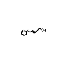 OCCCSSc1ccccn1